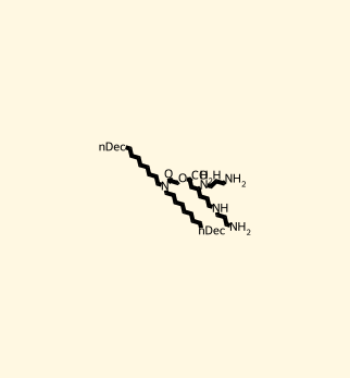 CCCCCCCCCCCCCCCCCCN(CCCCCCCCCCCCCCCCCC)C(=O)COC(CC(CCCNCCCN)NCCCN)C(=O)O